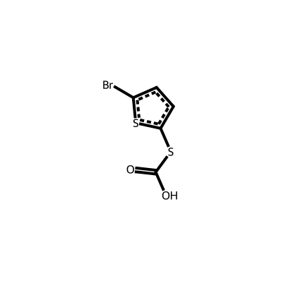 O=C(O)Sc1ccc(Br)s1